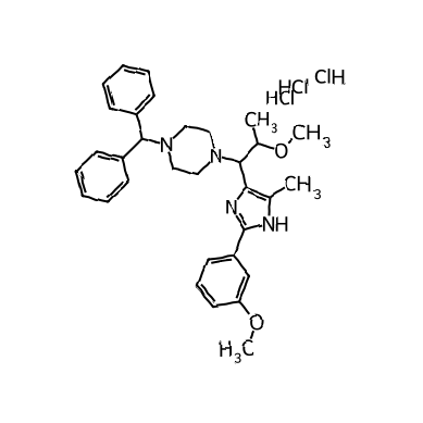 COc1cccc(-c2nc(C(C(C)OC)N3CCN(C(c4ccccc4)c4ccccc4)CC3)c(C)[nH]2)c1.Cl.Cl.Cl